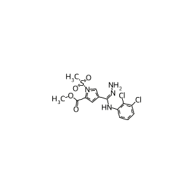 COC(=O)c1cc(C(=NN)Nc2cccc(Cl)c2Cl)cn1S(C)(=O)=O